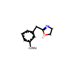 COc1cccc(CC2=NCCO2)c1